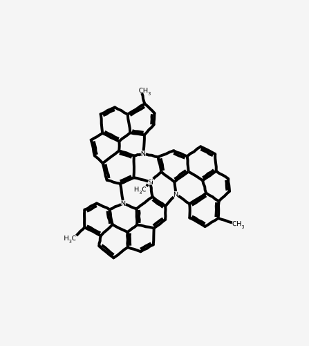 Cc1ccc2c3c1ccc1ccc4cc5c6c(c4c13)N2c1cc2ccc3ccc4c(C)ccc7c4c3c2c2c1[Si]6(C)c1c(cc3ccc4ccc6c(C)ccc8c6c4c3c1N58)N27